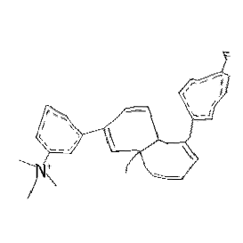 CC12C=CC=C(c3ccc(F)cc3)C1C=CC(c1cccc([N+](C)(C)C)c1)=C2